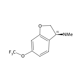 CN[C@@H]1COc2cc(OC(F)(F)F)ccc21